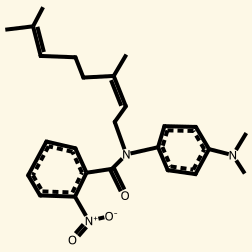 CC(C)=CCCC(C)=CCN(C(=O)c1ccccc1[N+](=O)[O-])c1ccc(N(C)C)cc1